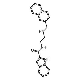 O=C(NCCNCc1ccc2ccccc2c1)c1cc2ccccc2[nH]1